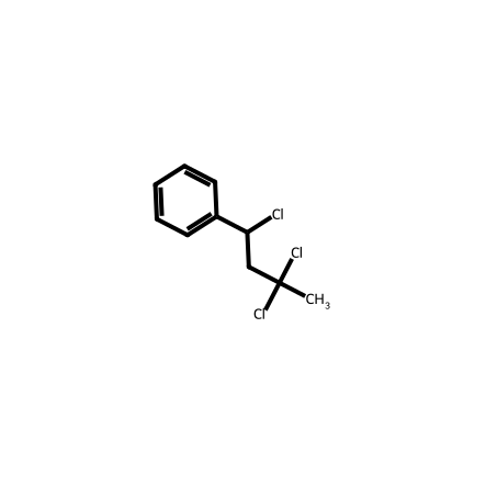 CC(Cl)(Cl)CC(Cl)c1ccccc1